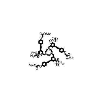 CCOP(C)(=O)c1cc(C#Cc2ccc(OCC(=O)OC)cc2)cc(CN2CCN(Cc3cc(C#Cc4ccc(OCC(=O)OC)cc4)cc(P(C)(=O)OCC)n3)CCN(Cc3cc(C#Cc4ccc(OCC(=O)OC)cc4)cc(P(C)(=O)OCC)n3)CC2)n1